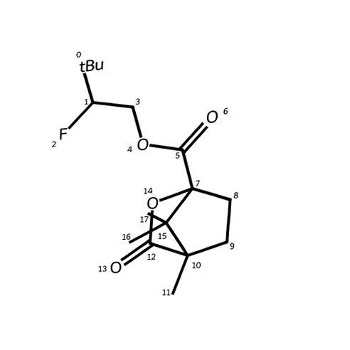 CC(C)(C)C(F)COC(=O)C12CCC(C)(C(=O)O1)C2(C)C